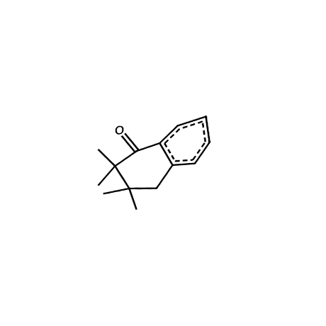 CC1(C)Cc2ccccc2C(=O)C1(C)C